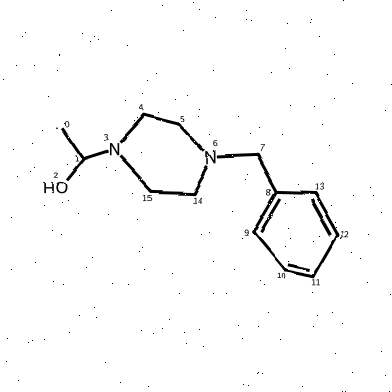 [CH2]C(O)N1CCN(Cc2ccccc2)CC1